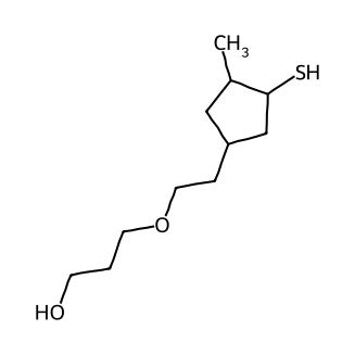 CC1CC(CCOCCCO)CC1S